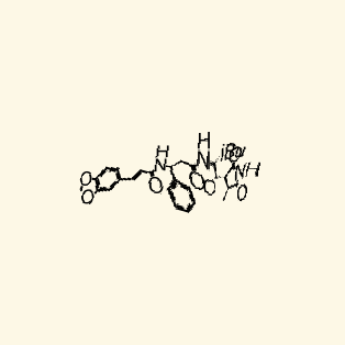 CC[C@@H](C)C(NC(=O)C[C@H](NC(=O)/C=C/c1ccc2c(c1)OCO2)c1ccccc1)C(=O)[C@@H]1C(=O)NC(=O)[C@H]1C